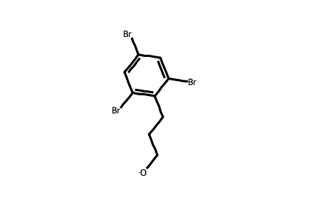 [O]CCCc1c(Br)cc(Br)cc1Br